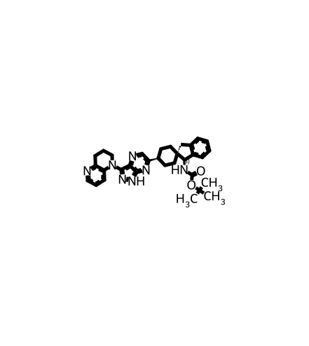 CC(C)(C)OC(=O)N[C@@H]1c2ccccc2C[C@]12CC[C@H](c1cnc3c(N4CCCc5ncccc54)n[nH]c3n1)CC2